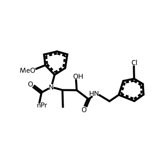 CCCC(=O)N(c1ccccc1OC)C(C)C(O)C(=O)NCc1cccc(Cl)c1